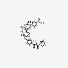 Cc1ccc(NC(=O)Nc2ccc(CC(=O)N[C@@H](CC(C)C)C(=O)NC[C@@H](C(=O)O)c3ccc(C(=O)O)cc3)cc2)nc1